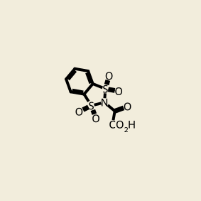 O=C(O)C(=O)N1S(=O)(=O)c2ccccc2S1(=O)=O